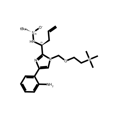 C=CC[C@H](N[S@@+]([O-])C(C)(C)C)c1nc(-c2ccccc2N)cn1COCC[Si](C)(C)C